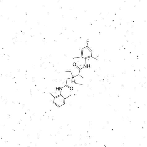 CC[PH](CC)(CC(=O)Nc1c(C)cccc1C)C(C)C(=O)Nc1c(C)cc(F)cc1C